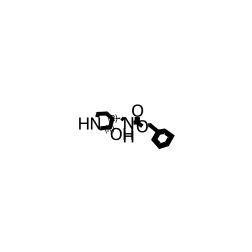 O=C(NC[C@H]1CCNC[C@@H]1O)OCc1ccccc1